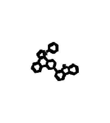 c1ccc(-n2ccc3c4ccccc4c4cc(-c5cccc6c5sc5ccccc56)ccc4c32)cc1